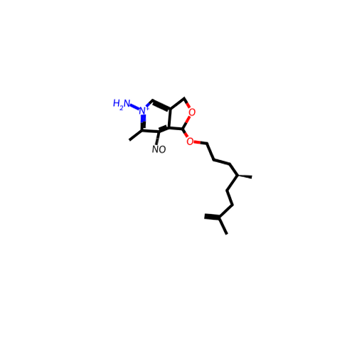 C=C(C)CC[C@H](C)CCCOC1OCc2c[n+](N)c(C)c(N=O)c21